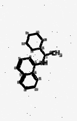 CC(Nc1cccc2ccccc12)C1CCCCC1